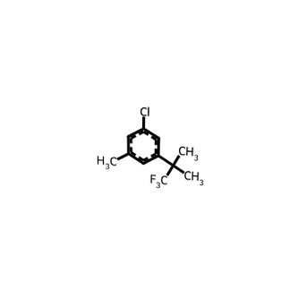 Cc1cc(Cl)cc(C(C)(C)C(F)(F)F)c1